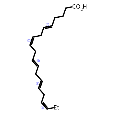 CC/C=C\C/C=C/C/C=C/C/C=C\C/C=C/CCCC(=O)O